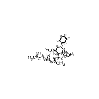 C/C(=C\[C@@H]1C[C@H](O)[C@H]2C[C@@H](c3ccccc3)C[C@H](C)[C@@H]21)CNOCCN(C)C